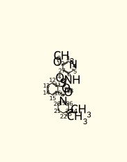 COc1cncc(NS(=O)(=O)c2ccccc2C(=O)N2CCCC(C)(C)C2)c1